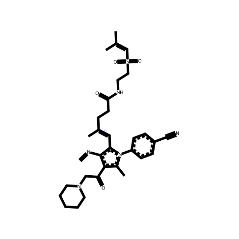 C=Nc1c(C(=O)CN2CCCCC2)c(C)n(-c2ccc(C#N)cc2)c1/C=C(\C)CCC(=O)NCCS(=O)(=O)C=C(C)C